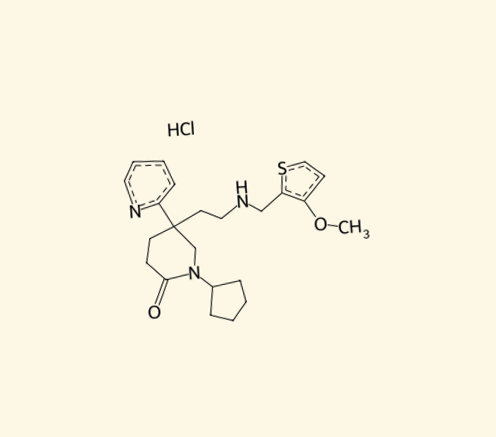 COc1ccsc1CNCCC1(c2ccccn2)CCC(=O)N(C2CCCC2)C1.Cl